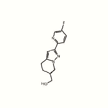 OCC1CCc2cc(-c3ccc(F)cn3)nn2C1